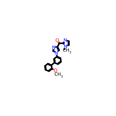 COc1ccccc1-c1cccc(-n2cnc(C(=O)c3nccn3C)c2)c1